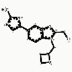 Cc1ncc(-c2ccc3c(c2)nc(CCl)n3CC2CCO2)s1